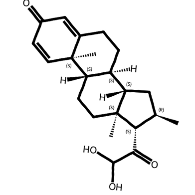 C[C@@H]1C[C@H]2[C@@H]3CCC4=CC(=O)C=C[C@]4(C)[C@H]3CC[C@]2(C)[C@H]1C(=O)C(O)O